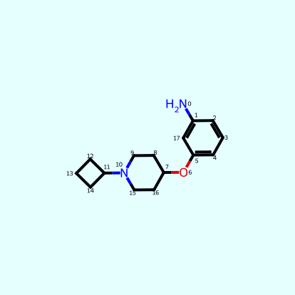 Nc1cccc(OC2CCN(C3CCC3)CC2)c1